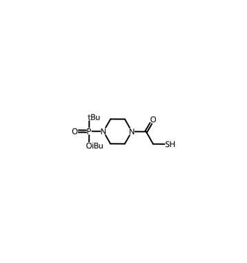 CC(C)COP(=O)(N1CCN(C(=O)CS)CC1)C(C)(C)C